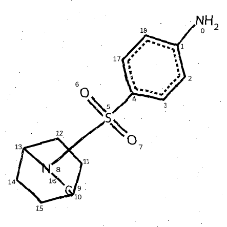 Nc1ccc(S(=O)(=O)N2CC3CCC(CC3)C2)cc1